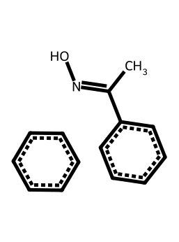 CC(=NO)c1ccccc1.c1ccccc1